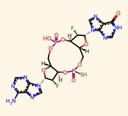 Nc1ncnc2c1ncn2[C@@H]1O[C@@H]2COP(=O)(O)O[C@H]3[C@@H](F)[C@H](n4cnc5c(=O)[nH]cnc54)O[C@@H]3COP(=O)(S)O[C@H]2[C@H]1F